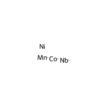 [Co].[Mn].[Nb].[Ni]